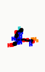 O=C(P)NCCOCCOCCNc1nc(Nc2ccc(O)cc2)nc(Nc2ccc(C(=O)NCc3c(F)cccc3F)cc2)n1